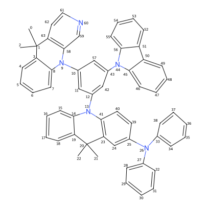 CC1(C)c2ccccc2N(c2cc(N3c4ccccc4C(C)(C)c4cc(N(c5ccccc5)c5ccccc5)ccc43)cc(-n3c4ccccc4c4ccccc43)c2)c2cnccc21